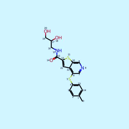 Cc1ccc(Sc2cncc3sc(C(=O)NCC(O)CO)cc23)cc1